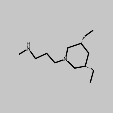 CC[C@@H]1C[C@H](CC)CN(CCCNC)C1